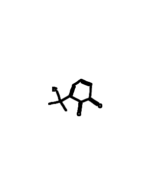 CCC(C)(C)C1=CC=CC(=O)C1=O